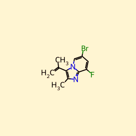 C=C(C)c1c(C)nc2c(F)cc(Br)cn12